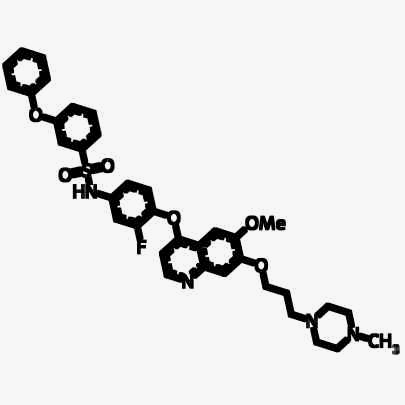 COc1cc2c(Oc3ccc(NS(=O)(=O)c4cccc(Oc5ccccc5)c4)cc3F)ccnc2cc1OCCCN1CCN(C)CC1